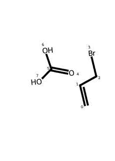 C=CCBr.O=C(O)O